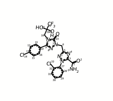 NC(=O)c1nc(Cn2nc(-c3ccc(Cl)cc3)n(CC(O)(O)C(F)(F)F)c2=O)nn1-c1ccccc1Cl